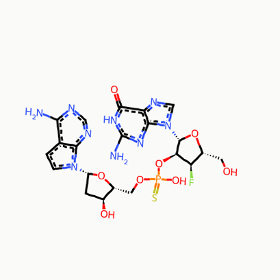 Nc1nc2c(ncn2[C@@H]2O[C@H](CO)[C@@H](F)[C@H]2OP(O)(=S)OC[C@H]2O[C@@H](n3ccc4c(N)ncnc43)C[C@@H]2O)c(=O)[nH]1